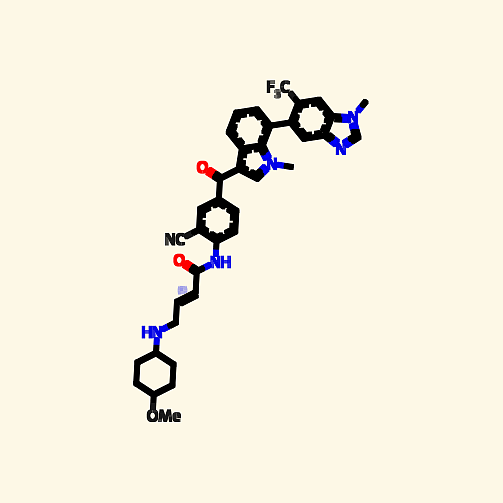 COC1CCC(NC/C=C/C(=O)Nc2ccc(C(=O)c3cn(C)c4c(-c5cc6ncn(C)c6cc5C(F)(F)F)cccc34)cc2C#N)CC1